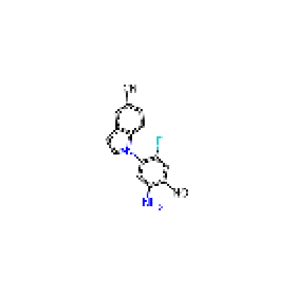 N#Cc1ccc2c(ccn2-c2cc(N)c(N=O)cc2F)c1